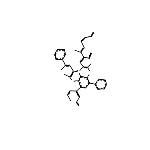 C=C\C=C/C=C(C)/C(C=C)=C/C1=C(C)Oc2c(-c3ccccc3)cc(C(/C=C\C)=C/C=C)c3c2P1(=S)C(/C=C(\C)c1ccccc1)=C(C)O3